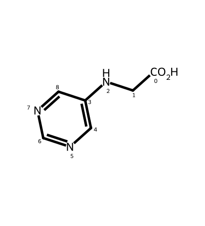 O=C(O)CNc1cncnc1